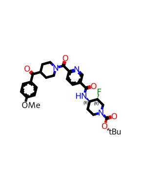 COc1ccc(C(=O)C2CCN(C(=O)c3ccc(C(=O)N[C@@H]4CCN(C(=O)OC(C)(C)C)C[C@H]4F)cn3)CC2)cc1